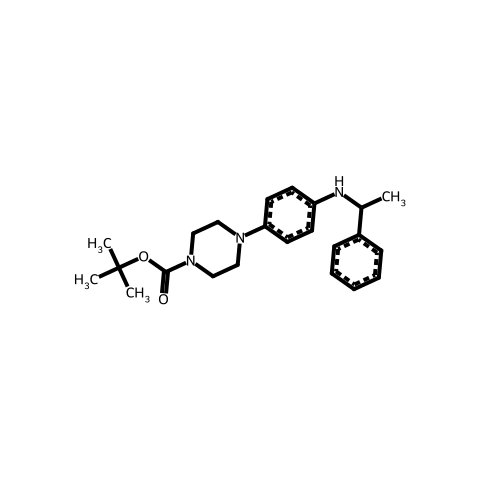 CC(Nc1ccc(N2CCN(C(=O)OC(C)(C)C)CC2)cc1)c1ccccc1